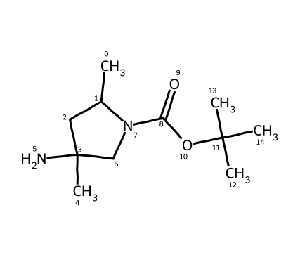 CC1CC(C)(N)CN1C(=O)OC(C)(C)C